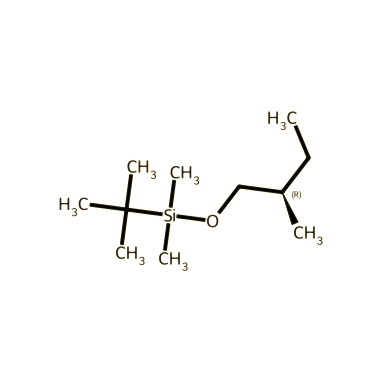 CC[C@@H](C)CO[Si](C)(C)C(C)(C)C